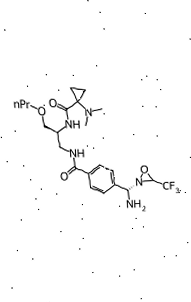 CCCOC[C@H](CNC(=O)c1ccc(C(N)[N@]2OC2C(F)(F)F)cc1)NC(=O)C1(N(C)C)CC1